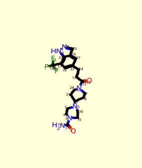 NC(=O)N1CCN(C2CCN(C(=O)[CH]Cc3cc(C(F)(F)F)c4[nH]ncc4c3)CC2)CC1